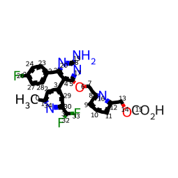 Cc1cc(-c2c(OCc3cccc(COC(=O)O)n3)nc(N)nc2-c2ccc(F)cc2)cc(C(F)F)n1